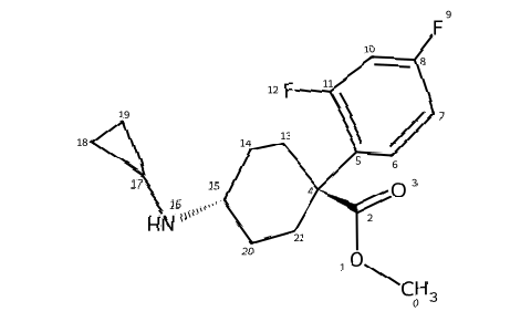 COC(=O)[C@]1(c2ccc(F)cc2F)CC[C@@H](NC2CC2)CC1